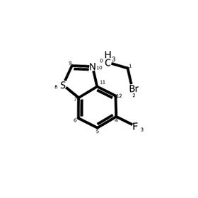 CCBr.Fc1ccc2scnc2c1